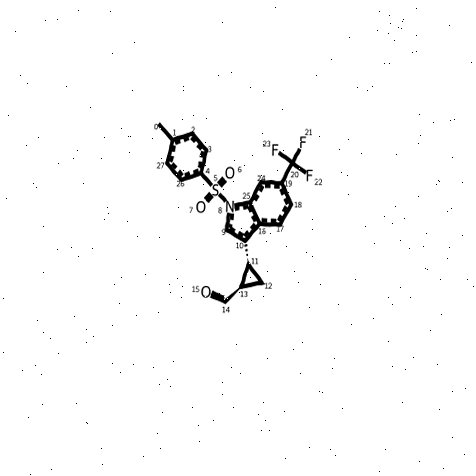 Cc1ccc(S(=O)(=O)n2cc([C@@H]3C[C@H]3C=O)c3ccc(C(F)(F)F)cc32)cc1